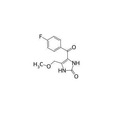 COCc1[nH]c(=O)[nH]c1C(=O)c1ccc(F)cc1